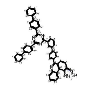 NC1/C(=N\S)C=Cc2c(-c3ccc(-c4cccc(-c5nc(-c6ccc(-c7ccccc7)cc6)nc(-c6ccc(-c7ccccc7)cc6)n5)c4)cc3)nc3ccccc3c21